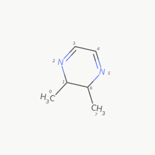 CC1N=CC=NC1C